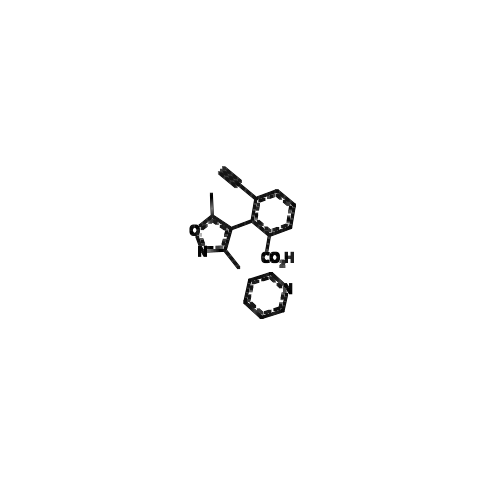 C#Cc1cccc(C(=O)O)c1-c1c(C)noc1C.c1ccncc1